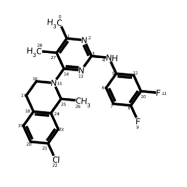 Cc1nc(Nc2ccc(F)c(F)c2)nc(N2CCc3ccc(Cl)cc3C2C)c1C